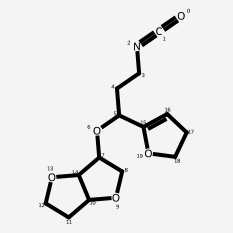 O=C=NCCC(OC1COC2CCOC21)C1=CCCO1